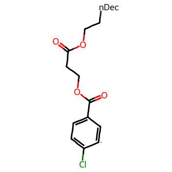 CCCCCCCCCCCCOC(=O)CCOC(=O)c1c[c]c(Cl)cc1